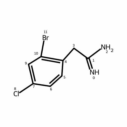 N=C(N)Cc1ccc(Cl)cc1Br